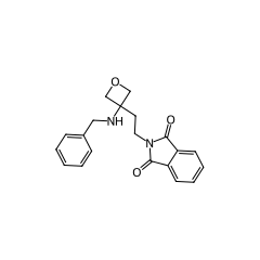 O=C1c2ccccc2C(=O)N1CCC1(NCc2ccccc2)COC1